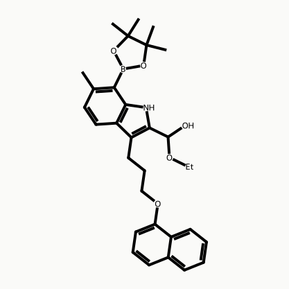 CCOC(O)c1[nH]c2c(B3OC(C)(C)C(C)(C)O3)c(C)ccc2c1CCCOc1cccc2ccccc12